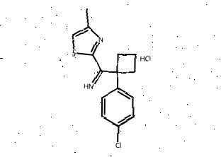 Cc1csc(C(=N)C2(c3ccc(Cl)cc3)CCC2)n1.Cl